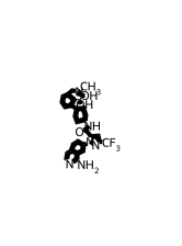 CN1Cc2cccc(-c3ccc(NC(=O)c4cc(C(F)(F)F)nn4-c4ccc5ccnc(N)c5c4)cc3)c2S1(O)O